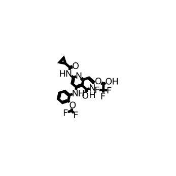 O=C(Nc1cc(Nc2ccccc2OC(F)F)c2c(=O)[nH]ccc2n1)C1CC1.O=C(O)C(F)(F)F